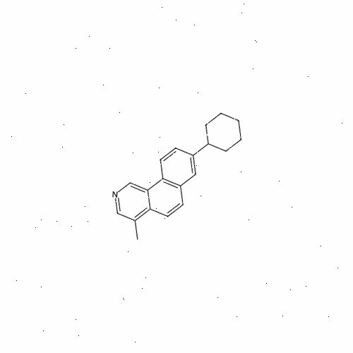 Cc1cncc2c1ccc1cc(C3CCCCC3)ccc12